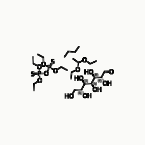 CCCC.CCOC(C)OCC.CCOP(=S)(OCC)OP(=S)(OCC)OCC.O=C[C@H](O)[C@H](O)[C@@H](O)[C@H](O)[C@H](O)CO